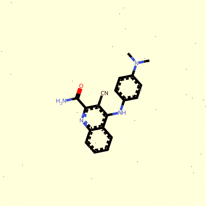 CN(C)c1ccc(Nc2c(C#N)c(C(N)=O)nc3cc[c]cc23)cc1